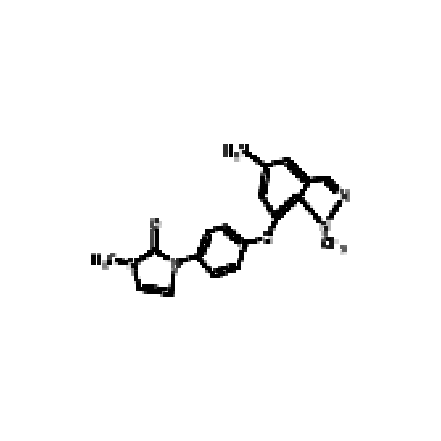 Cn1ccn(-c2ccc(Oc3cc(N)cc4cnn(C)c34)cc2)c1=O